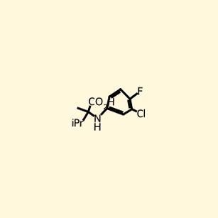 CC(C)C(C)(Nc1ccc(F)c(Cl)c1)C(=O)O